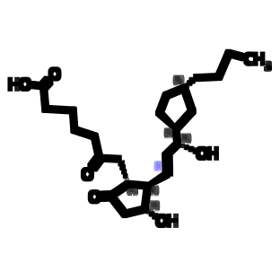 CCCC[C@H]1CC[C@H]([C@H](O)/C=C/[C@H]2[C@H](O)CC(=O)[C@@H]2CC(=O)CCCCC(=O)O)C1